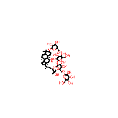 C[C@H](CC[C@@H](O[C@@H]1O[C@H](CO[C@H]2O[C@H](CO)[C@@H](O)[C@H](O)[C@H]2O)[C@@H](O)[C@H](O)[C@H]1O[C@@H]1O[C@H](CO)[C@@H](O)[C@H](O)[C@H]1O)C(C)(C)O)C1CC[C@@]2(C)C3CC=C4C(CC[C@H](O[C@@H]5O[C@H](CO)C[C@H](O)[C@H]5O)C4(C)C)[C@]3(C)[C@H](O)C[C@]12C